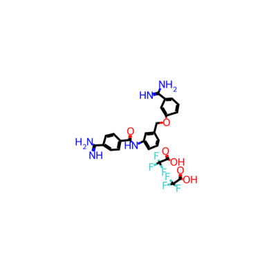 N=C(N)c1ccc(C(=O)Nc2cccc(COc3cccc(C(=N)N)c3)c2)cc1.O=C(O)C(F)(F)F.O=C(O)C(F)(F)F